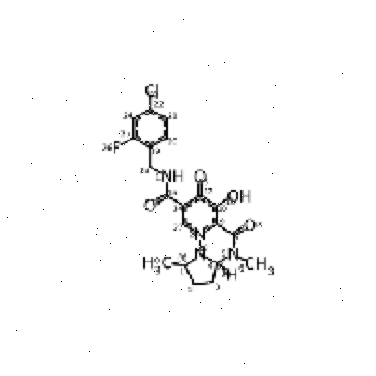 C[C@@H]1CC[C@H]2N(C)C(=O)c3c(O)c(=O)c(C(=O)NCc4ccc(Cl)cc4F)cn3N12